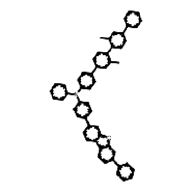 Cc1cc(-c2ccccc2)ccc1-c1ccc(-c2ccc(N(c3ccccc3)c3ccc(-c4ccc5c(c4)oc4cc(-c6ccccc6)ccc45)cc3)cc2)cc1C